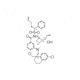 C=CCC[C@@H](c1ccccc1)S(=O)(=O)NC(=O)c1ccc2c(c1)N(C[C@@H]1CC[C@H]1[C@@H](O)C=C)C[C@@]1(CCCc3cc(Cl)ccc31)CO2